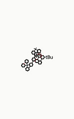 CC(C)(C)c1cc(-c2cccc3cccc(-c4ccccc4N(c4ccc(-c5ccc6c(c5)C(c5ccccc5)(c5ccccc5)c5ccccc5-6)cc4)c4cccc5c4-c4ccccc4C5(C)C)c23)cc(C(C)(C)C)c1